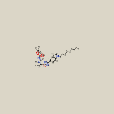 CCCCCCCCCn1ccc2cc(-c3noc([C@@H]4CCCN4/C(C)=N/C(=O)OC(C)(C)C)n3)ccc21